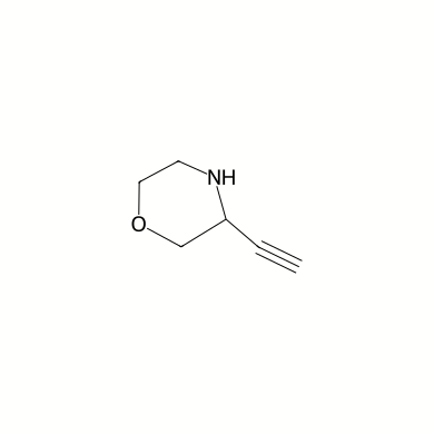 C#CC1COCCN1